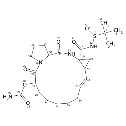 CC(C)(C)[S+]([O-])NC(=O)[C@]12CC1/C=C/CCCCCC(OC(N)=O)C(=O)N1CCCC1C(=O)N2